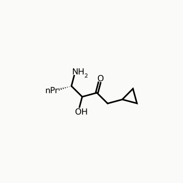 CCC[C@H](N)C(O)C(=O)CC1CC1